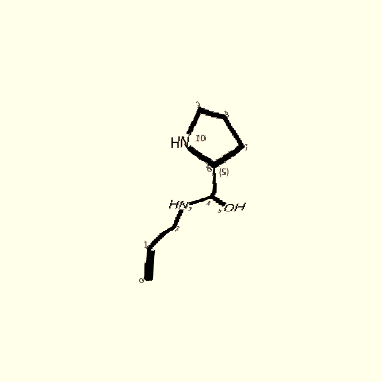 C=C[CH]NC(O)[C@@H]1CCCN1